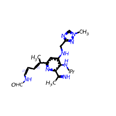 CC(=N)c1nc(/C(C)=C/C=C\NC=O)cc(NCc2ncn(C)n2)c1NC(C)C